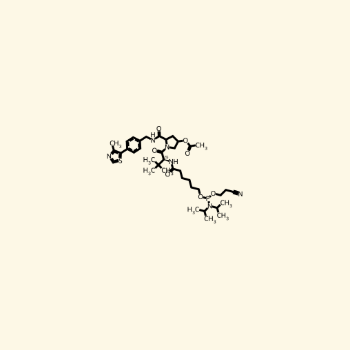 CC(=O)OC1CC(C(=O)NCc2ccc(-c3scnc3C)cc2)N(C(=O)[C@@H](NC(=O)CCCCCOP(OCCC#N)N(C(C)C)C(C)C)C(C)(C)C)C1